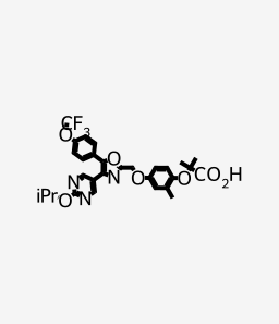 Cc1cc(OCc2nc(-c3cnc(OC(C)C)nc3)c(-c3ccc(OC(F)(F)F)cc3)o2)ccc1OC(C)(C)C(=O)O